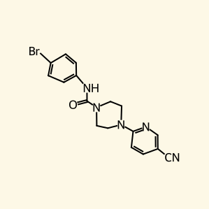 N#Cc1ccc(N2CCN(C(=O)Nc3ccc(Br)cc3)CC2)nc1